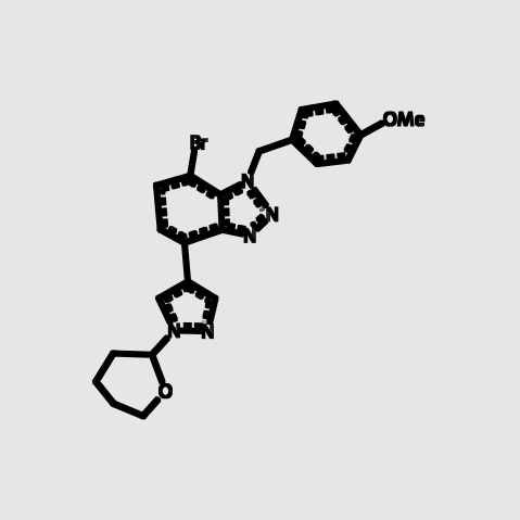 COc1ccc(Cn2nnc3c(-c4cnn(C5CCCCO5)c4)ccc(Br)c32)cc1